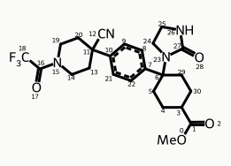 COC(=O)C1CCC(c2ccc(C3(C#N)CCN(C(=O)C(F)(F)F)CC3)cc2)(N2CCNC2=O)CC1